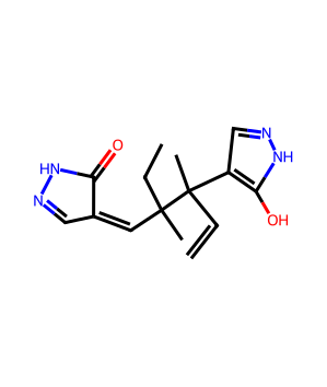 C=CC(C)(c1cn[nH]c1O)C(C)(/C=C1/C=NNC1=O)CC